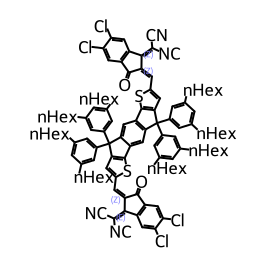 [C-]#[N+]/C(C#N)=C1\C(=C\c2cc3c(s2)-c2cc4c(cc2C3(c2cc(CCCCCC)cc(CCCCCC)c2)c2cc(CCCCCC)cc(CCCCCC)c2)-c2sc(/C=C3\C(=O)c5cc(Cl)c(Cl)cc5\C3=C(\C#N)[N+]#[C-])cc2C4(c2cc(CCCCCC)cc(CCCCCC)c2)c2cc(CCCCCC)cc(CCCCCC)c2)C(=O)c2cc(Cl)c(Cl)cc21